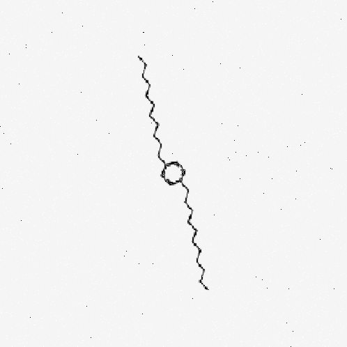 CCCCCCCCCCCc1ccc(CCCCCCCCCCC)cc1